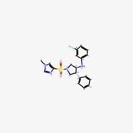 Cn1cnc(S(=O)(=O)N2C[C@@H](Nc3cccc(F)c3)[C@H](c3ccccc3)C2)c1